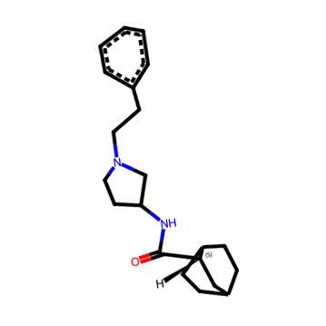 O=C(NC1CCN(CCc2ccccc2)C1)[C@H]1CC2CCC1CC2